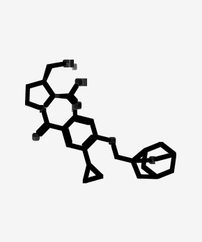 CC[C@@H]1CCN(C(=O)c2cc(C3CC3)c(OCC34CC5CC(CC3C5)C4)cc2F)[C@@H]1C(=O)O